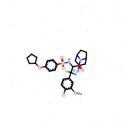 COc1cc(C(F)(F)C(NS(=O)(=O)c2ccc(OC3CCCC3)cc2)C(=O)N2C3CCC2CC(N)C3)ccc1Cl